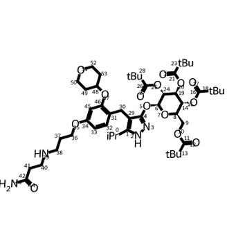 CC(C)c1[nH]nc(O[C@@H]2O[C@H](COC(=O)C(C)(C)C)[C@@H](OC(=O)C(C)(C)C)[C@H](OC(=O)C(C)(C)C)[C@H]2OC(=O)C(C)(C)C)c1Cc1ccc(OCCCNCCC(N)=O)cc1OC1CCOCC1